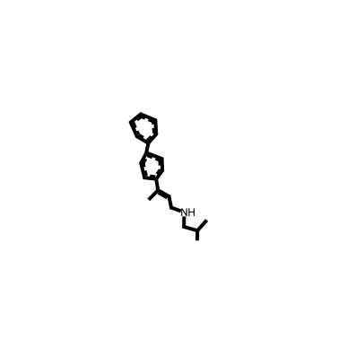 CC(=CCNCC(C)C)c1ccc(-c2ccccc2)cc1